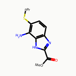 CCCSc1ccc2nc(C(=O)OC)[nH]c2c1N